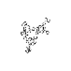 c1ccc(-c2ccc(N(c3ccc(-c4cccc5ccccc45)cc3)c3ccc4cc(-c5ccc(N(c6ccc(-c7cccc8ccccc78)cc6)c6ccc7cc(-c8cccc(-c9ccc(N(c%10ccc%11c(c%10)oc%10ccccc%10%11)c%10ccc%11ccc%12c%13ccccc%13n(-c%13ccccc%13)c%12c%11c%10)cc9)c8)c8c9ccccc9n(-c9ccccc9)c8c7c6)cc5)c5c6ccccc6n(-c6ccccc6)c5c4c3)cc2)cc1